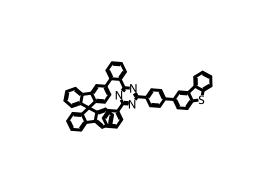 c1ccc(-c2nc(-c3ccc(-c4ccc5sc6ccccc6c5c4)cc3)nc(-c3ccccc3-c3ccc4c(c3)-c3ccccc3C43c4ccccc4-c4ccccc43)n2)cc1